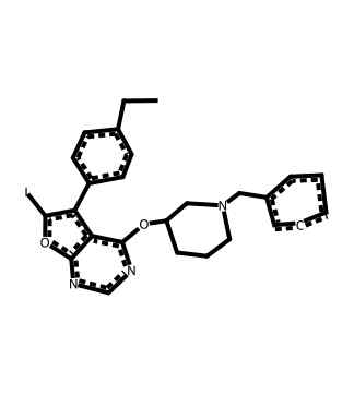 CCc1ccc(-c2c(I)oc3ncnc(OC4CCCN(Cc5ccccc5)C4)c23)cc1